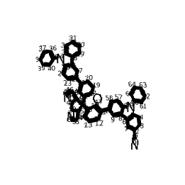 N#Cc1ccc2c(c1)c1cc(-c3cccc4c3Oc3ccc(-c5ccc6c(c5)c5ccccc5n6-c5ccccc5)cc3C43c4cccnc4-c4ncccc43)ccc1n2-c1ccccc1